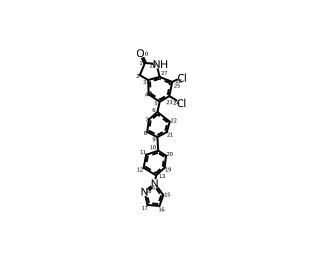 O=C1Cc2cc(-c3ccc(-c4ccc(-n5cccn5)cc4)cc3)c(Cl)c(Cl)c2N1